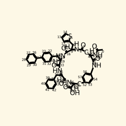 CC(=O)N[C@H]1CC(=O)N[C@H](Cc2cccs2)C(=O)N[C@@H](Cc2ccc(-c3ccccc3)cc2)C(=O)N[C@H](Cc2ccccc2)C(=O)N[C@H](C(=O)O)Cc2ccc(cc2)NC1=O